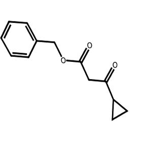 O=C(CC(=O)C1CC1)OCc1ccccc1